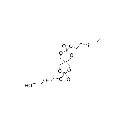 CCCOCCOP1(=O)OCC2(CO1)COP(=O)(OCCOCCO)OC2